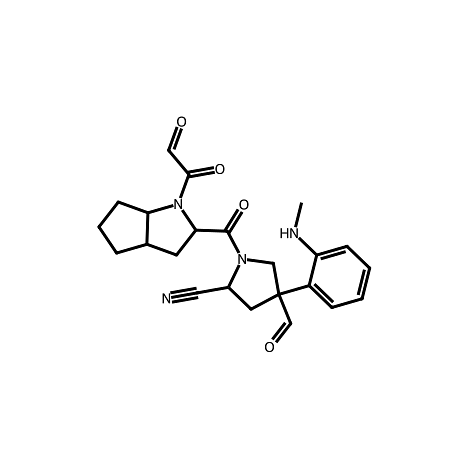 CNc1ccccc1C1(C=O)CC(C#N)N(C(=O)C2CC3CCCC3N2C(=O)C=O)C1